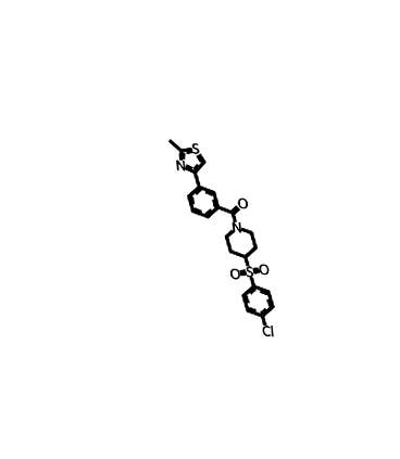 Cc1nc(-c2cccc(C(=O)N3CCC(S(=O)(=O)c4ccc(Cl)cc4)CC3)c2)cs1